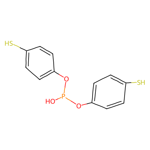 OP(Oc1ccc(S)cc1)Oc1ccc(S)cc1